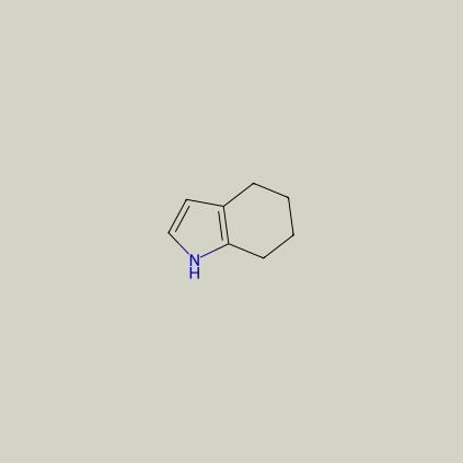 c1cc2c([nH]1)CCCC2